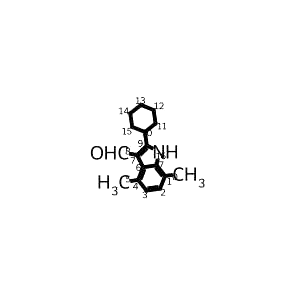 Cc1ccc(C)c2c(C=O)c(C3CCCCC3)[nH]c12